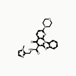 Cn1ccnc1CNC(=O)c1c(=O)c2ccc(N3CCOCC3)nc2n2c1sc1ccccc12